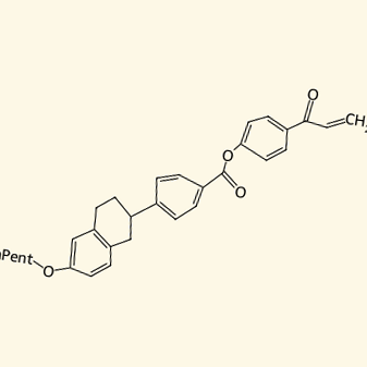 C=CC(=O)c1ccc(OC(=O)c2ccc(C3CCc4cc(OCCCCC)ccc4C3)cc2)cc1